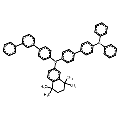 CC1(C)CCC(C)(C)c2cc(N(c3ccc(-c4ccc(N(c5ccccc5)c5ccccc5)cc4)cc3)c3ccc(-c4cccc(-c5ccccc5)c4)cc3)ccc21